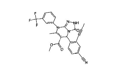 CC#Cc1cc(C#N)ccc1C1C(C(=O)OC)=C(C)N(c2cccc(C(F)(F)F)c2)c2n[nH]c(=O)n21